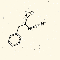 [N-]=[N+]=NC(Cc1ccccc1)[C@H]1CO1